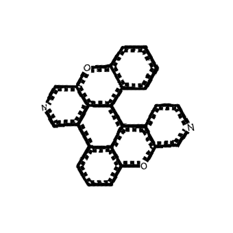 c1ccc2c(c1)oc1cncc3c4cccc5oc6cnccc6c(c54)c2c13